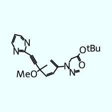 C=NN(CC(=O)OC(C)(C)C)C(=C)/C=C\C(C)(C#Cc1ncccn1)OC